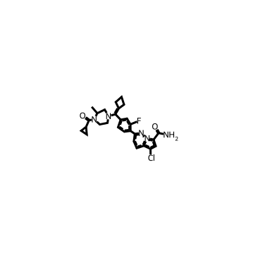 CC1CN(C(=C2CCC2)c2ccc(-c3ccc4c(Cl)cc(C(N)=O)n4n3)c(F)c2)CCN1C(=O)C1CC1